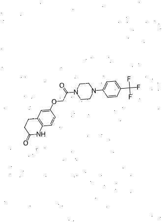 O=C1CCc2cc(OCC(=O)N3CCN(c4ccc(C(F)(F)F)cc4)CC3)ccc2N1